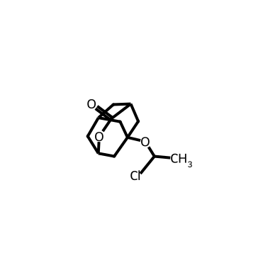 CC(Cl)OC12CC3CC(C1)OC(=O)C(C3)C2